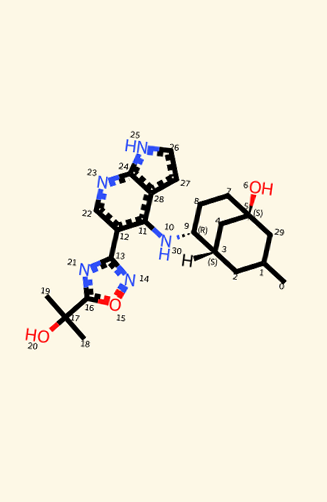 CC1C[C@H]2C[C@](O)(CC[C@H]2Nc2c(-c3noc(C(C)(C)O)n3)cnc3[nH]ccc23)C1